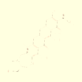 CC(C)C[C@@H]1CNc2c(O)c3c(c(F)c2CN1C)C[C@H]1CC2CC(O)=C(C(N)=O)C(=O)[C@@]2(O)C(O)=C1C3=O